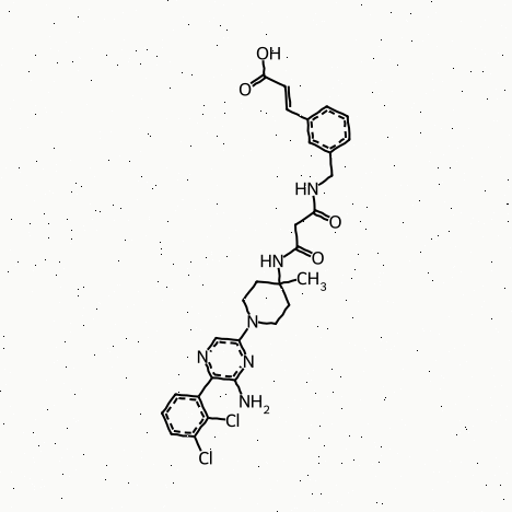 CC1(NC(=O)CC(=O)NCc2cccc(/C=C/C(=O)O)c2)CCN(c2cnc(-c3cccc(Cl)c3Cl)c(N)n2)CC1